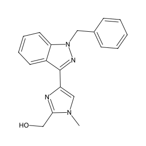 Cn1cc(-c2nn(Cc3ccccc3)c3ccccc23)nc1CO